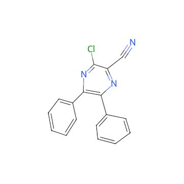 N#Cc1nc(-c2ccccc2)c(-c2ccccc2)nc1Cl